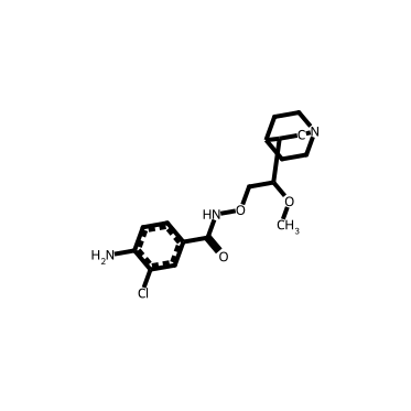 COC(CONC(=O)c1ccc(N)c(Cl)c1)C1CN2CCC1CC2